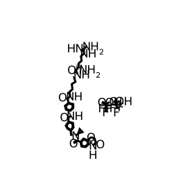 N=C(N)NCCC[C@H](N)C(=O)NCCCCCNC(=O)c1ccc(NC(=O)c2ccc(CN(C(=O)c3ccc4c(c3)OCC(=O)N4)C3CC3)cc2)cc1.O=C(O)C(F)(F)F.O=C(O)C(F)(F)F